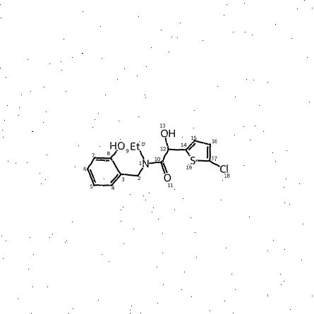 CCN(Cc1ccccc1O)C(=O)C(O)c1ccc(Cl)s1